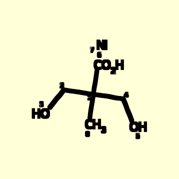 CC(CO)(CO)C(=O)O.[Ni]